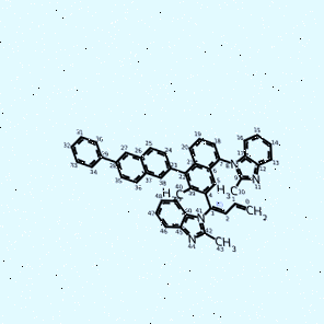 C=C/C=C(\c1cc2c(-n3c(C)nc4ccccc43)cccc2c(-c2ccc3cc(-c4ccccc4)ccc3c2)c1C)n1c(C)nc2ccccc21